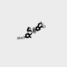 COc1ccc(CN(c2nccs2)S(=O)(=O)c2ccc3c(Cl)nncc3c2)c(C)c1